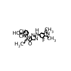 C=CCn1c(=O)c2cnc(Nc3cc(F)c4c(C)nn(C)c4c3)nc2n1-c1cccc(C(C)(C)O)n1